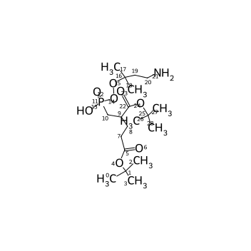 CC(C)(C)OC(=O)CCC(CP(=O)(O)OOC(C)(C)CCN)C(=O)OC(C)(C)C